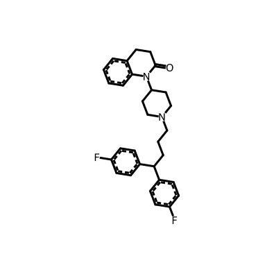 O=C1CCc2ccccc2N1C1CCN(CCCC(c2ccc(F)cc2)c2ccc(F)cc2)CC1